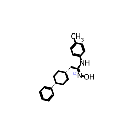 Cc1ccc(N/C(C[C@H]2CC[C@@H](c3ccccc3)CC2)=N\O)cc1